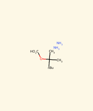 CCCCC(C)(C)OC(=O)O.N.N